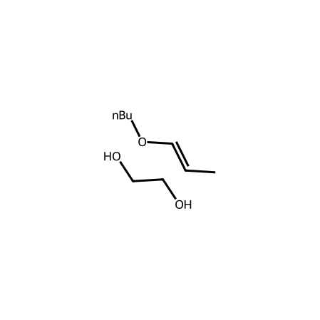 C/C=C/OCCCC.OCCO